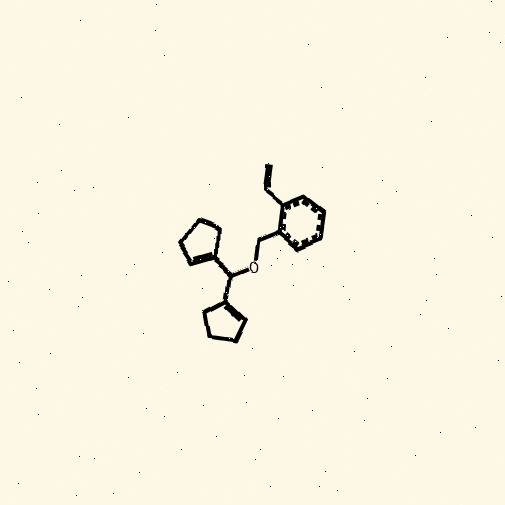 C=Cc1ccccc1COC(C1=CCCC1)C1=CCCC1